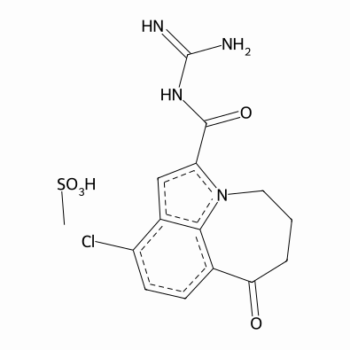 CS(=O)(=O)O.N=C(N)NC(=O)c1cc2c(Cl)ccc3c2n1CCCC3=O